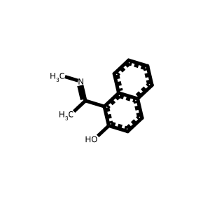 CN=C(C)c1c(O)ccc2ccccc12